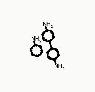 Nc1ccc(-c2ccc(N)cc2)cc1.Nc1ccccc1